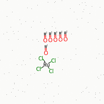 [C]=O.[C]=O.[C]=O.[C]=O.[C]=O.[C]=O.[Cl][Ru]([Cl])([Cl])[Cl]